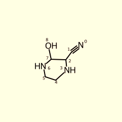 N#CC1NCCNC1O